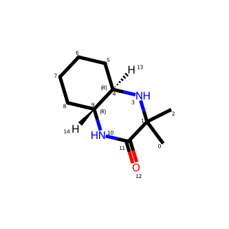 CC1(C)N[C@@H]2CCCC[C@H]2NC1=O